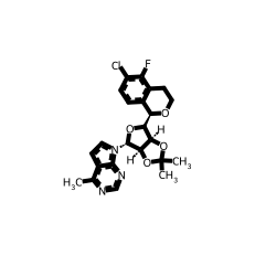 Cc1ncnc2c1ccn2[C@@H]1OC([C@@H]2OCCc3c2ccc(Cl)c3F)[C@H]2OC(C)(C)O[C@H]21